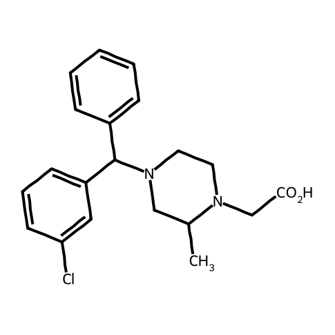 CC1CN(C(c2ccccc2)c2cccc(Cl)c2)CCN1CC(=O)O